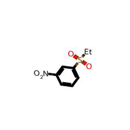 CCS(=O)(=O)c1cccc([N+](=O)[O-])c1